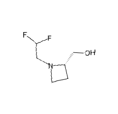 OC[C@@H]1CCN1CC(F)F